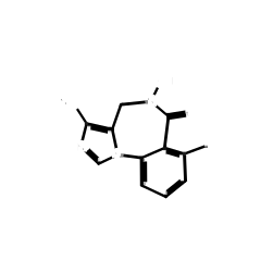 CN1Cc2c(C#N)ncn2-c2cccc(F)c2C1=O